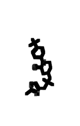 Cc1nc(CC(C)(C)CC2CCN(c3ccc(C(C)(C)C)cc3)C(=O)C2)cs1